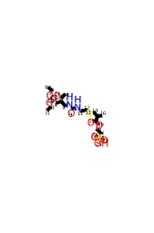 CCO[Si](CCCNC(=O)NCCSCC(C)C(=O)OCCS(=O)(=O)O)(OCC)OCC